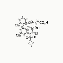 CCC(CS(=O)(=O)C1CCC1)N1C(=O)[C@H](CC(=O)O)O[C@H](c2cccc(Cl)c2)[C@H]1c1ccc(Cl)cc1